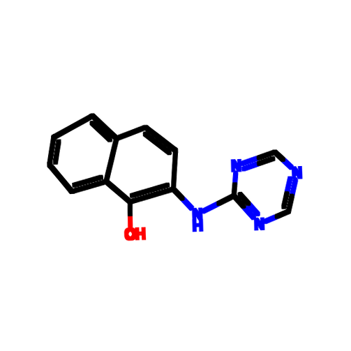 Oc1c(Nc2ncncn2)ccc2ccccc12